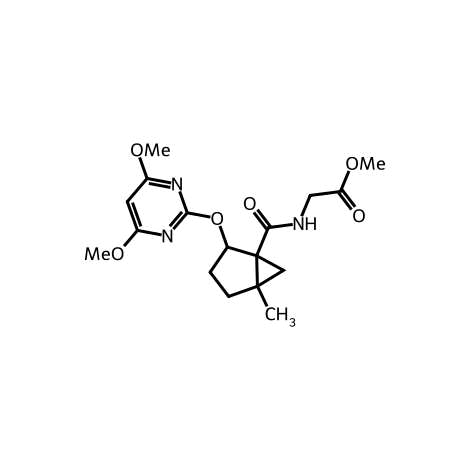 COC(=O)CNC(=O)C12CC1(C)CCC2Oc1nc(OC)cc(OC)n1